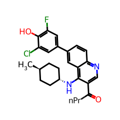 CCCC(=O)c1cnc2ccc(-c3cc(F)c(O)c(Cl)c3)cc2c1N[C@H]1CC[C@H](C)CC1